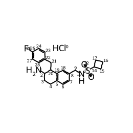 Cl.NC1CCc2ccc(CNS(=O)(=O)C3CCC3)cc2C1Cc1ccc(F)cc1